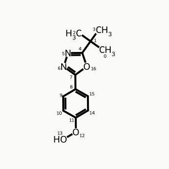 CC(C)(C)c1nnc(-c2ccc(OO)cc2)o1